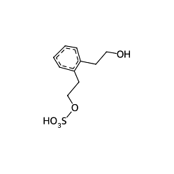 O=S(=O)(O)OCCc1ccccc1CCO